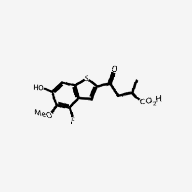 COc1c(O)cc2sc(C(=O)CC(C)C(=O)O)cc2c1F